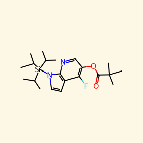 CC(C)[Si](C(C)C)(C(C)C)n1ccc2c(F)c(OC(=O)C(C)(C)C)cnc21